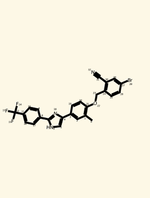 Cc1cc(-c2c[nH]c(-c3ccc(C(F)(F)F)cc3)n2)ccc1OCc1ccc(Br)cc1C#N